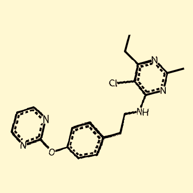 CCc1nc(C)nc(NCCc2ccc(Oc3ncccn3)cc2)c1Cl